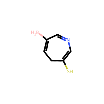 BC1=CCC(S)=CN=C1